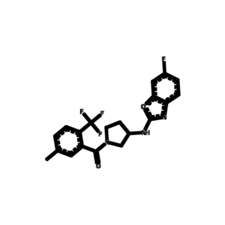 Cc1ccc(C(F)(F)F)c(C(=O)N2CCC(Nc3nc4ccc(F)cc4o3)C2)c1